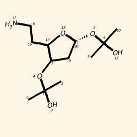 CC(C)(O)OC1C[C@@H](OC(C)(C)O)OC1CCN